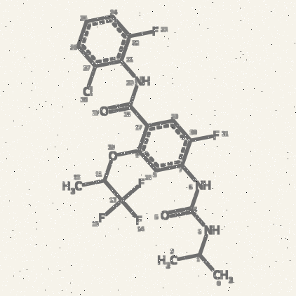 CC(C)NC(=O)Nc1cc(OC(C)C(F)(F)F)c(C(=O)Nc2c(F)cccc2Cl)cc1F